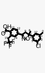 Cc1cc(Cl)cc(C2(C)CC(c3ccc(C(=O)O)c(CC(F)(F)F)c3)=NO2)c1